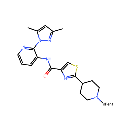 CCCCCN1CCC(c2nc(C(=O)Nc3cccnc3-n3nc(C)cc3C)cs2)CC1